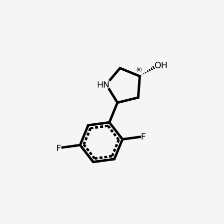 O[C@H]1CNC(c2cc(F)ccc2F)C1